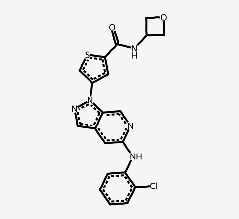 O=C(NC1COC1)c1cc(-n2ncc3cc(Nc4ccccc4Cl)ncc32)cs1